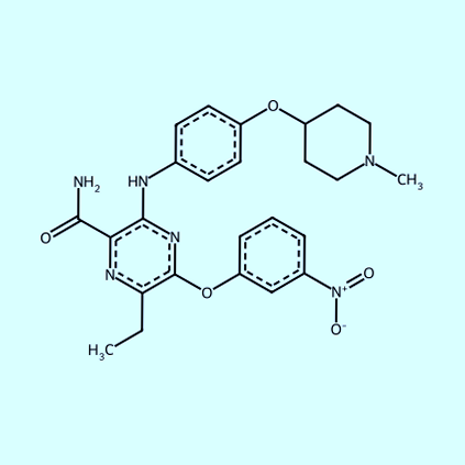 CCc1nc(C(N)=O)c(Nc2ccc(OC3CCN(C)CC3)cc2)nc1Oc1cccc([N+](=O)[O-])c1